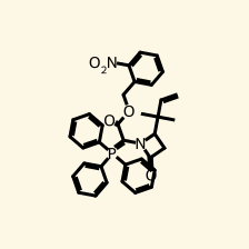 C=CC(C)(C)C1CC(=O)N1C(C(=O)OCc1ccccc1[N+](=O)[O-])=P(c1ccccc1)(c1ccccc1)c1ccccc1